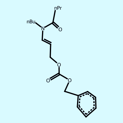 CCCCN(/C=C/COC(=O)OCc1ccccc1)C(=O)CCC